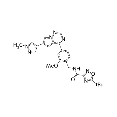 COc1cc(-c2ncnn3cc(-c4cnn(C)c4)cc23)ccc1CNC(=O)c1noc(C(C)(C)C)n1